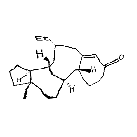 CC[C@@H]1CC2=CC(=O)CC[C@@H]2[C@H]2CC[C@]3(C)CCC[C@H]3[C@H]12